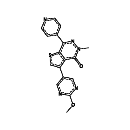 COc1ncc(-c2csc3c(-c4ccncc4)nn(C)c(=O)c23)cn1